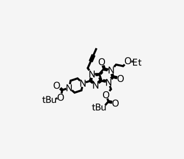 CC#CCn1c(N2CCN(C(=O)OC(C)(C)C)CC2)nc2c1c(=O)n(CCOCC)c(=O)n2COC(=O)C(C)(C)C